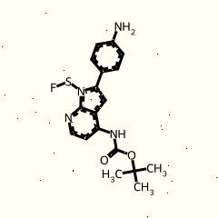 CC(C)(C)OC(=O)Nc1ccnc2c1cc(-c1ccc(N)cc1)n2SF